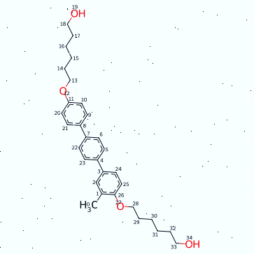 Cc1cc(-c2ccc(-c3ccc(OCCCCCCO)cc3)cc2)ccc1OCCCCCCO